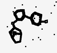 Clc1ccc(-c2cccc(OC3CC4CCC(C3)N4)c2)cc1